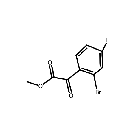 COC(=O)C(=O)c1ccc(F)cc1Br